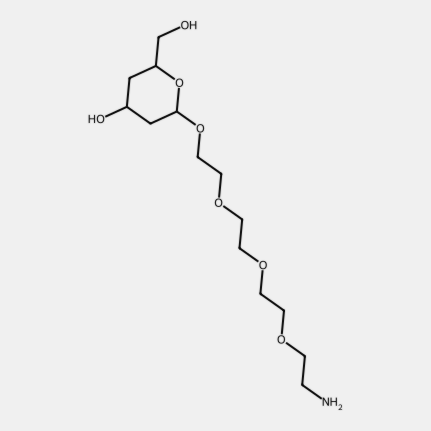 NCCOCCOCCOCCOC1CC(O)CC(CO)O1